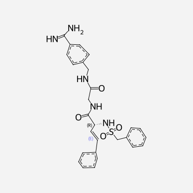 N=C(N)c1ccc(CNC(=O)CNC(=O)[C@@H](/C=C/c2ccccc2)NS(=O)(=O)Cc2ccccc2)cc1